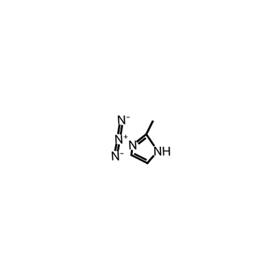 Cc1ncc[nH]1.[N-]=[N+]=[N-]